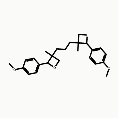 COc1ccc(C2OCC2(C)CCCC2(C)COC2c2ccc(OC)cc2)cc1